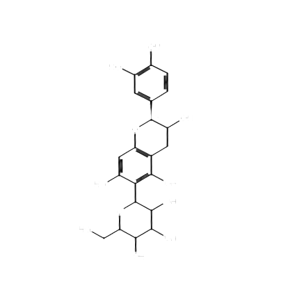 OCC1OC(c2c(O)cc3c(c2O)CC(O)[C@H](c2ccc(O)c(O)c2)O3)C(O)C(O)C1O